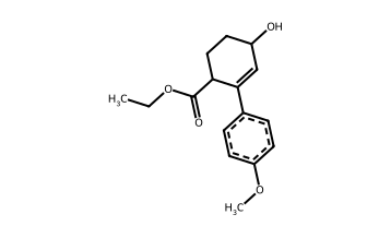 CCOC(=O)C1CCC(O)C=C1c1ccc(OC)cc1